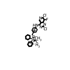 CC(C)(C)[Si](OCC12CCC(Nc3nc(Cl)nc4c(F)c(Cl)ncc34)(CC1)CO2)(c1ccccc1)c1ccccc1